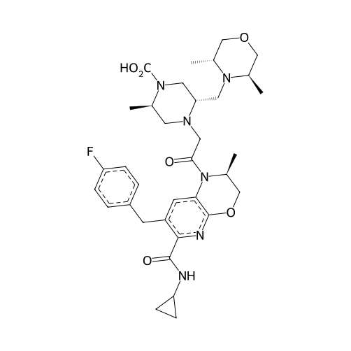 C[C@@H]1CN(CC(=O)N2c3cc(Cc4ccc(F)cc4)c(C(=O)NC4CC4)nc3OC[C@@H]2C)[C@@H](CN2[C@H](C)COC[C@H]2C)CN1C(=O)O